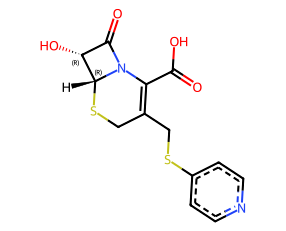 O=C(O)C1=C(CSc2ccncc2)CS[C@@H]2[C@H](O)C(=O)N12